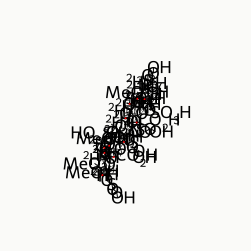 [2H]OC1(C)C([2H])(OC)[C@]([2H])(O[C@]2(C)C([2H])(C([2H])(C)OS(=O)(=O)O)O[C@]([2H])(O[C@]3(C)C([2H])(C(=O)O)O[C@@]([2H])(O[C@]4([2H])C([2H])(OC)C([2H])(N([2H])SOOO)[C@]([2H])(OC([2H])([2H])[2H])O[C@@]4([2H])C([2H])([2H])OS(=O)(=O)O)C([2H])(OS(=O)(=O)O)[C@]3([2H])O[2H])C([2H])(N([2H])SOOO)[C@@]2([2H])OSOOO)O[C@@]([2H])(C(=O)O)[C@@]1([2H])O[C@@]1([2H])O[C@@]([2H])(C([2H])([2H])OSOOO)[C@@]([2H])(OC)C(C)(OC)C1([2H])N(C)SOOO